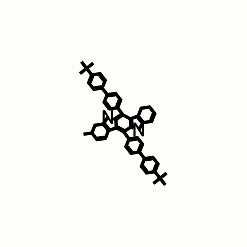 CC1C=Cc2c(n3c4cc(-c5ccc(C(C)(C)C)cc5)ccc4c4c5c6c(n7c8cc(-c9ccc(C(C)(C)C)cc9)ccc8c(c2c43)c57)C=CCC6)C1